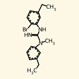 CCc1cccc(N(C)C(=N)Nc2cc(CC)ccc2Br)c1